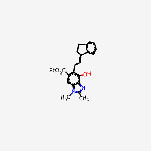 CCOC(=O)c1cc2c(nc(C)n2C)c(O)c1CC=C1CCc2ccccc21